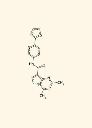 Cc1cc(C)n2ccc(C(=O)Nc3ccc(-c4cccs4)nc3)c2n1